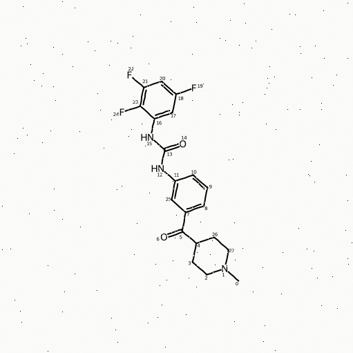 CN1CCC(C(=O)c2cccc(NC(=O)Nc3cc(F)cc(F)c3F)c2)CC1